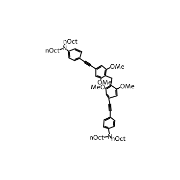 CCCCCCCCN(CCCCCCCC)c1ccc(C#Cc2cc(OC)c(Cc3c(OC)cc(C#Cc4ccc(N(CCCCCCCC)CCCCCCCC)cc4)cc3OC)c(OC)c2)cc1